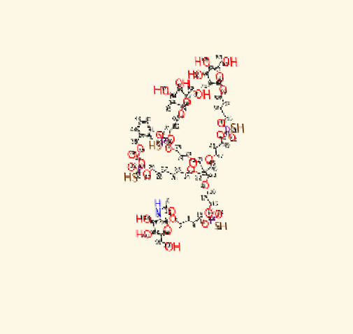 CC(=O)NC1[C@H](OCCCCOP(=O)(S)OCCCOCC(COCCCCCCOP(=O)(S)OC(=O)OCc2ccccc2)(COCCCOP(=O)(S)OCCCCO[C@@H]2OC(CO)[C@@H](O)[C@H](O)C2C)COCCCOP(=O)(S)OCCCO[C@@H]2OC(CO)[C@H](O)[C@H](O)C2C)OC(CO)[C@@H](O)[C@@H]1O